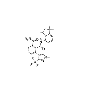 CC1CC(C)(C)c2cccc(NC(=O)c3c(C(N)=O)cccc3-c3cn(C)nc3C(F)(F)F)c21